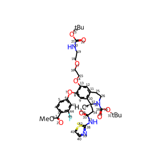 COC(=O)c1ccc(Oc2cc3c(cc2OCCOCCNC(=O)OC(C)(C)C)CCN(C(=O)OC(C)(C)C)[C@]3(C)CC(=O)Nc2nccs2)cc1F